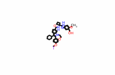 COc1cc2[nH]c(C3(NC(=O)c4ccc5c(C6CCCCC6)c6n(c5c4)CCOc4cc(OCI)ccc4-6)CCC3)nc2cc1CO